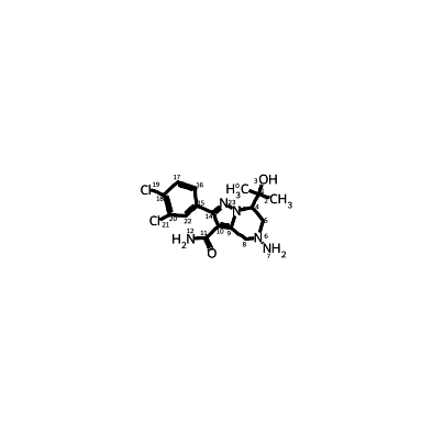 CC(C)(O)C1CN(N)Cc2c(C(N)=O)c(-c3ccc(Cl)c(Cl)c3)nn21